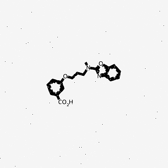 CN(CCCOc1cccc(C(=O)O)c1)c1nc2ccccc2o1